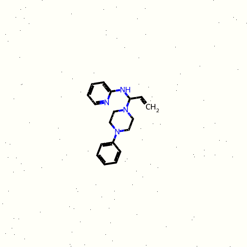 C=CC(Nc1ccccn1)N1CCN(c2ccccc2)CC1